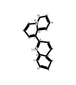 [C]1=CC=C(c2ccc3ccccc3n2)C2=CC=CCN12